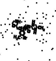 Cc1cc(OC[C@@H]2CNCCO2)c(NC(=O)NC2CNC(C)CN2)cc1Br